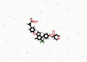 Cc1cc(C(F)(F)F)c(-c2ccc(OCC3(O)CCOCC3)cc2)c2c1[C@H](Oc1ccc([C@H]3C[C@@H]3C(=O)O)cc1)CC2